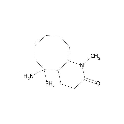 BC1(N)CCCCCC2C1CCC(=O)N2C